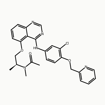 CC(=O)N(C)[C@@H](C)COc1cccc2ncnc(Nc3ccc(OCc4ccccn4)c(Cl)c3)c12